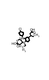 CCC(CC(=O)O)c1ccc(N(CC)C2CCSC(O)(O)C2)c(Nc2ccc(Cl)cc2)c1